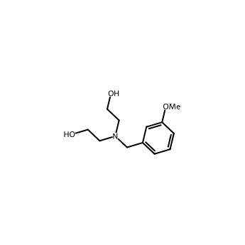 COc1cccc(CN(CCO)CCO)c1